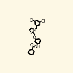 O=C(Nc1cccc(OCc2nccn2Cc2cc(Cl)cc(Cl)c2)c1)c1ccccc1